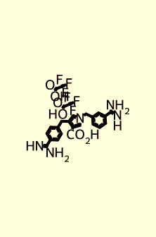 N=C(N)c1ccc(Cc2cn(Cc3cccc(C(=N)N)c3)cc2C(=O)O)cc1.O=C(O)C(F)(F)F.O=C(O)C(F)(F)F